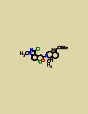 CO/C=C1\CCC[C@H]2[C@H]1CCN(C(=O)Cc1c(Cl)ccc3c1c(Cl)nn3C)[C@H]2C